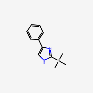 C[Si](C)(C)c1nc(-c2ccccc2)c[nH]1